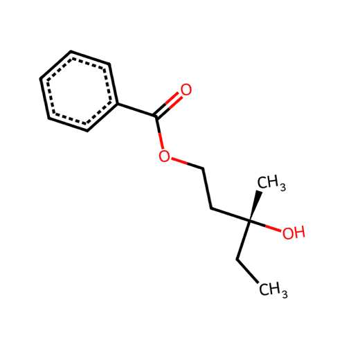 CC[C@@](C)(O)CCOC(=O)c1ccccc1